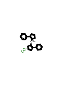 C1=CC(c2ccccc2)=[C]([V+2][C]2=C(c3ccccc3)C=CC2)C1.[Cl-].[Cl-]